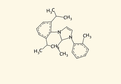 CCC1N(c2ccccc2C)C=CN1c1c(C(C)C)cccc1C(C)C